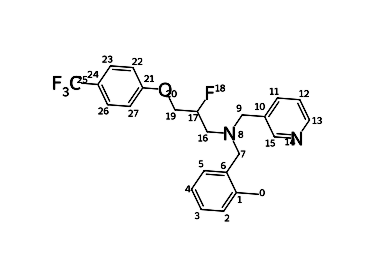 Cc1ccccc1CN(Cc1cccnc1)CC(F)COc1ccc(C(F)(F)F)cc1